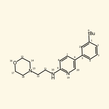 CC(C)(C)c1cccc(-c2ccc(NCCN3CCOCC3)nc2)c1